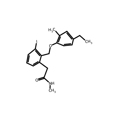 CCc1ccc(OCc2c(I)cccc2CC(=O)NC)c(C)c1